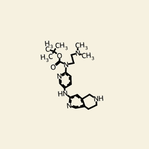 CN(C)CCN(C(=O)OC(C)(C)C)c1ccc(Nc2cc3c(cn2)CCNC3)cn1